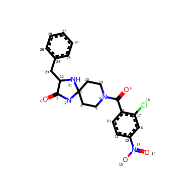 O=C1[N]C2(CCN(C(=O)c3ccc([N+](=O)[O-])cc3Cl)CC2)NC1Cc1ccccc1